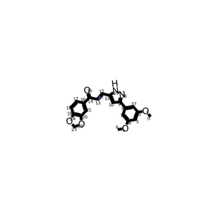 COc1cc(OC)cc(-c2cc(/C=C/C(=O)c3ccc4c(c3)OCO4)[nH]n2)c1